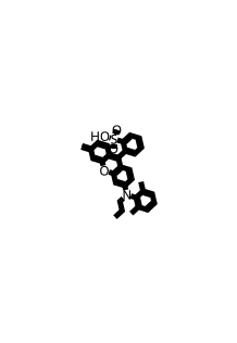 C=c1ccc2c(c1)Oc1cc(N(CCC)c3c(C)cccc3C)ccc1C=2c1ccccc1S(=O)(=O)O